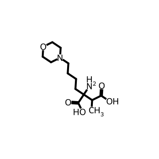 CC(C(=O)O)C(N)(CCCCN1CCOCC1)C(=O)O